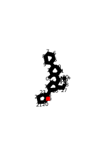 Cc1cc(-c2ccccc2)ccc1-c1c2ccc(C3CC4CCC3C4)cc2cc[n+]1C